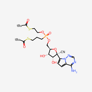 CC(C)(C)C(=O)SCCCP(=O)(OCCSC(=O)C(C)(C)C)OC[C@H]1O[C@@](C#N)(c2ccc3c(N)ncnn23)[C@H](O)[C@@H]1O